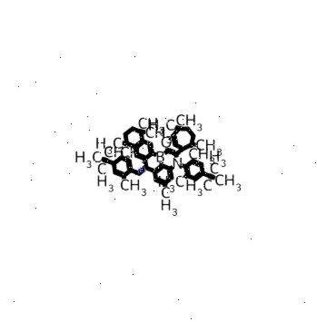 CC1=CC(C(C)(C)C)CC=C1/C=C1\c2cc3c(cc2B2C4=C(C5C=C(O4)C(C)(C)CCC5(C)C)N(c4ccc(C(C)(C)C)cc4C)c4cc(C)cc1c42)C(C)(C)CCC3(C)C